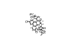 CC(C)[C@@H](CS(=O)(=O)C(C)C)N1C(=O)[C@@](C)(CC(=O)NS(=N)(=O)C2(C)CC2)C[C@H](c2cccc(Cl)c2)[C@H]1c1ccc(Cl)cc1